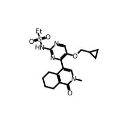 CCS(=O)(=O)Nc1ncc(OCC2CC2)c(-c2cn(C)c(=O)c3c2CCCC3)n1